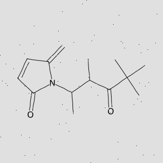 C=C1C=CC(=O)N1C(C)C(C)C(=O)C(C)(C)C